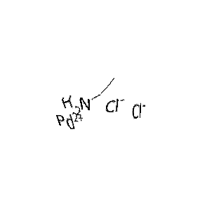 CN.[Cl-].[Cl-].[Pd+2]